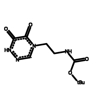 CC(C)(C)OC(=O)NCCn1[c]n[nH]c(=O)c1=O